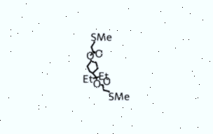 CCC(CC)(OC(=O)CCSC)C1CCC(OC(=O)CCSC)CC1